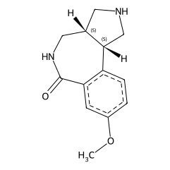 COc1ccc2c(c1)C(=O)NC[C@@H]1CNC[C@H]21